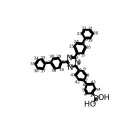 OB(O)c1ccc(-c2ccc(-c3nc(-c4ccc(-c5ccccc5)cc4)nc(-c4ccc(-c5ccccc5)cc4)n3)cc2)cc1